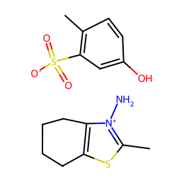 Cc1ccc(O)cc1S(=O)(=O)[O-].Cc1sc2c([n+]1N)CCCC2